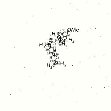 COc1cc(C)c(S(=O)(=O)N(C)CCC(=O)N(C)c2ccc(N3CCC(N(C)C)CC3)nc2)c(C)c1